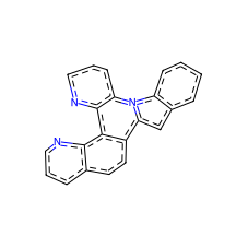 c1cnc2c(c1)ccc1c2c2ncccc2n2c3ccccc3cc12